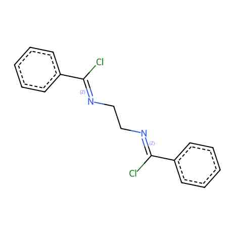 Cl/C(=N\CC/N=C(\Cl)c1ccccc1)c1ccccc1